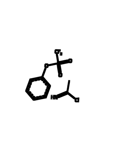 CC(=N)Cl.O=S(=O)(Oc1ccccc1)C(F)(F)F